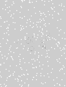 CC(C)(Sc1ccnc(OC(=O)C(C)(C)Sc2ccncc2-c2ccc(Cl)cc2)c1-c1ccc(F)c(F)c1)C(=O)O